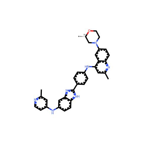 Cc1cc(Nc2ccc3[nH]c(-c4ccc(Nc5cc(C)nc6ccc(N7CCO[C@@H](C)C7)cc56)cc4)nc3c2)ccn1